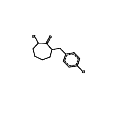 CCC1CCCCC(Cc2ccc(Cl)cc2)C1=O